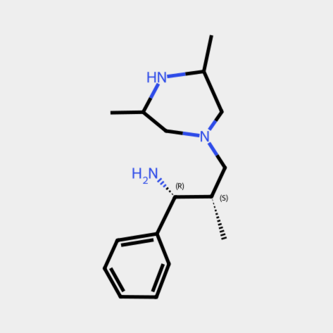 CC1CN(C[C@H](C)[C@@H](N)c2ccccc2)CC(C)N1